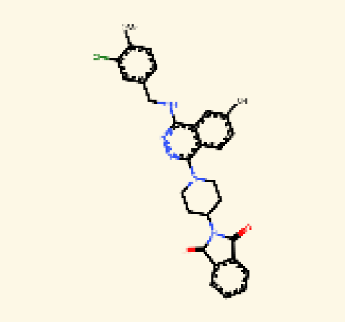 COc1ccc(CNc2nnc(N3CCC(N4C(=O)c5ccccc5C4=O)CC3)c3ccc(C#N)cc23)cc1Cl